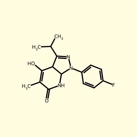 CC1=C(O)C2C(C(C)C)=NN(c3ccc(F)cc3)C2NC1=O